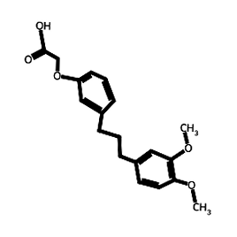 COc1ccc(CCCc2cccc(OCC(=O)O)c2)cc1OC